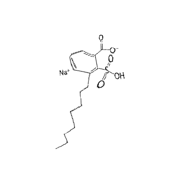 CCCCCCCCc1cccc(C(=O)[O-])c1S(=O)(=O)O.[Na+]